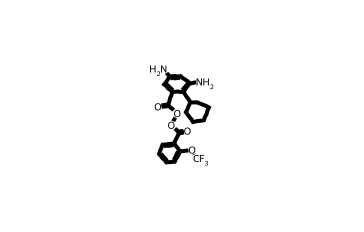 Nc1cc(N)c(C2CCCCC2)c(C(=O)OOC(=O)c2ccccc2OC(F)(F)F)c1